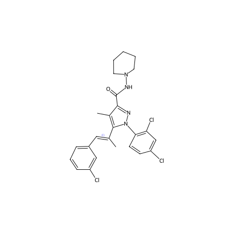 C/C(=C\c1cccc(Cl)c1)c1c(C)c(C(=O)NN2CCCCC2)nn1-c1ccc(Cl)cc1Cl